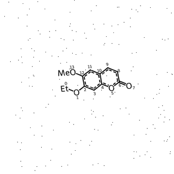 CCOc1cc2oc(=O)ccc2cc1OC